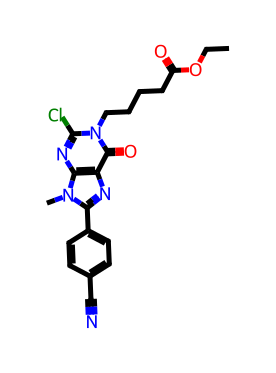 CCOC(=O)CCCCn1c(Cl)nc2c(nc(-c3ccc(C#N)cc3)n2C)c1=O